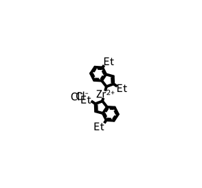 CCC1=Cc2c(CC)cccc2[CH]1[Zr+2][CH]1C(CC)=Cc2c(CC)cccc21.[Cl-].[Cl-]